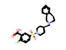 O=C(O)c1cc(S(=O)(=O)N2CCC(CN3CCc4ccccc4C3)CC2)ccc1F